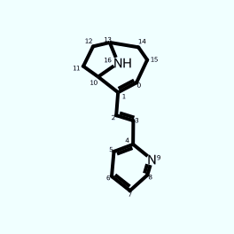 C1=C(/C=C/c2ccccn2)C2CCC(CC1)N2